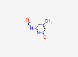 CC1=CC(=O)N=C(N=C=O)C1